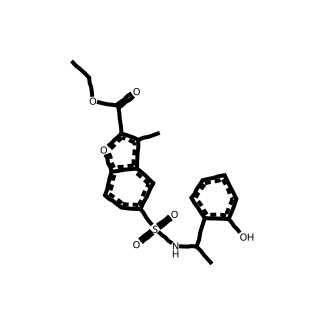 CCOC(=O)c1oc2ccc(S(=O)(=O)NC(C)c3ccccc3O)cc2c1C